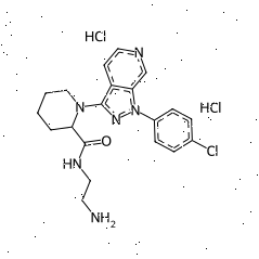 Cl.Cl.NCCNC(=O)C1CCCCN1c1nn(-c2ccc(Cl)cc2)c2cnccc12